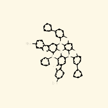 CC(C)(C)c1ccc2c(c1)oc1c3c4c(cc12)B1c2cc(-c5ccccc5)ccc2Sc2cc5c6c(c21)N4c1c(cc2c(oc4cc(C(C)(C)C)ccc42)c1N3c1ccccc1)B6c1cc(-c2ccccc2)ccc1S5